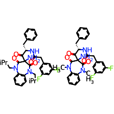 CC(C)CN1C(=O)C(N)(C(=O)[C@H](Cc2ccccc2)NC(=O)Cc2cc(F)cc(F)c2)C(=O)N(CC(C)C)c2ccccc21.CN1C(=O)C(N)(C(=O)[C@H](Cc2ccccc2)NC(=O)Cc2cc(F)cc(F)c2)C(=O)N(C)c2ccccc21